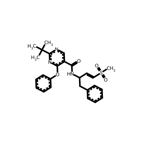 CC(C)(C)c1ncc(C(=O)NC(C=CS(C)(=O)=O)Cc2ccccc2)c(Oc2ccccc2)n1